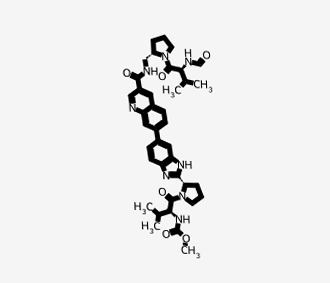 COC(=O)N[C@H](C(=O)N1CCC[C@H]1c1nc2ccc(-c3ccc4cc(C(=O)NC[C@@H]5CCCN5C(=O)[C@@H](NC=O)C(C)C)cnc4c3)cc2[nH]1)C(C)C